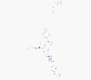 C=CC(=O)OCCCCCCOc1ccc(C(=O)Oc2ccc(/C=N/N=C/c3ccc(C)cc3)cc2C(=O)OCCC)cc1